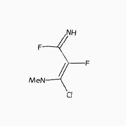 CN/C(Cl)=C(/F)C(=N)F